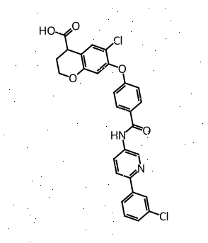 O=C(Nc1ccc(-c2cccc(Cl)c2)nc1)c1ccc(Oc2cc3c(cc2Cl)C(C(=O)O)CCO3)cc1